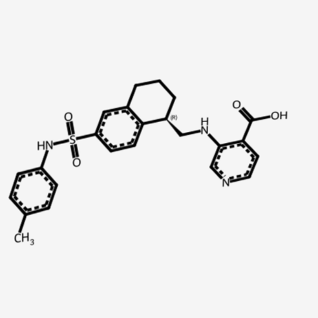 Cc1ccc(NS(=O)(=O)c2ccc3c(c2)CCC[C@H]3CNc2cnccc2C(=O)O)cc1